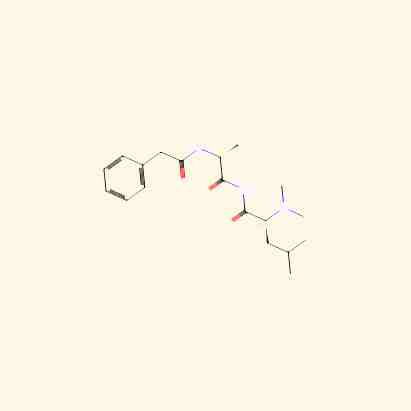 CC(C)C[C@@H](C(=O)NC(=O)[C@H](C)NC(=O)Cc1ccccc1)N(C)C